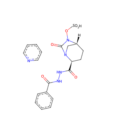 O=C(NNC(=O)[C@@H]1CC[C@@H]2CN1C(=O)N2OS(=O)(=O)O)c1ccccc1.c1ccncc1